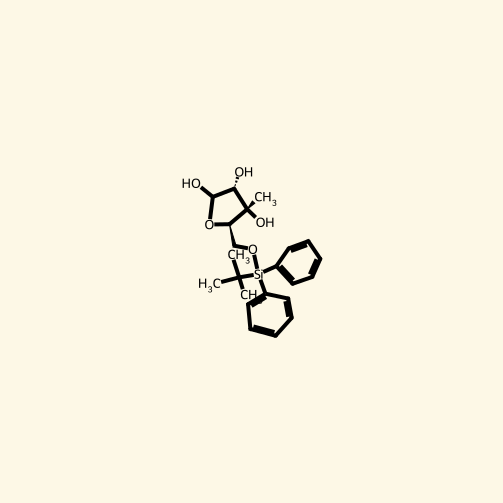 CC(C)(C)[Si](OC[C@H]1OC(O)[C@H](O)[C@]1(C)O)(c1ccccc1)c1ccccc1